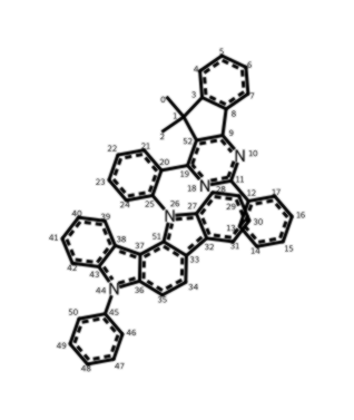 CC1(C)c2ccccc2-c2nc(-c3ccccc3)nc(-c3ccccc3-n3c4ccccc4c4ccc5c(c6ccccc6n5-c5ccccc5)c43)c21